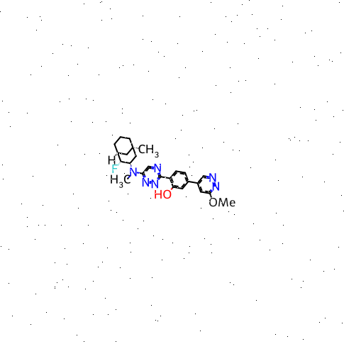 COc1cc(-c2ccc(-c3ncc(N(C)[C@H]4C[C@]5(C)CCC[C@@H](C5)[C@H]4F)nn3)c(O)c2)cnn1